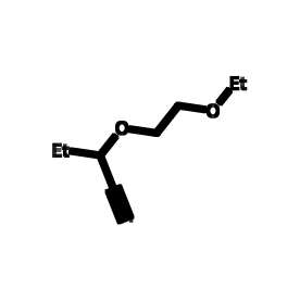 [C]#CC(CC)OCCOCC